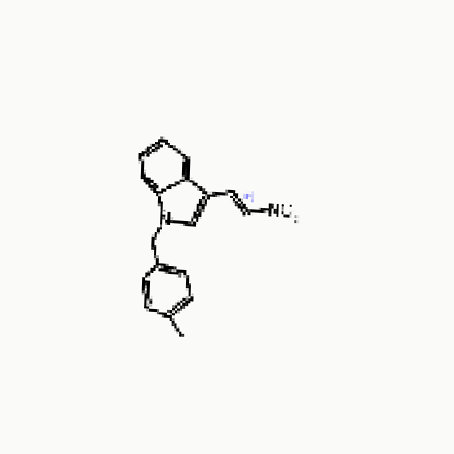 Cc1ccc(Cn2cc(/C=C/[N+](=O)[O-])c3ccccc32)cc1